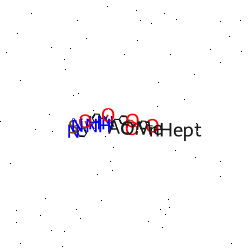 CCCCCCCOc1ccc(C(=O)Oc2ccc(CC(NC(=O)c3cccc(NC(=O)c4cccc5nsnc45)c3)C(C)=O)cc2OC)cc1